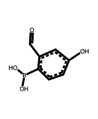 O=Cc1cc(O)ccc1B(O)O